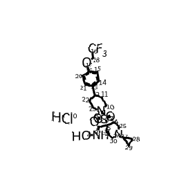 Cl.O=C(NO)C1(S(=O)(=O)N2CCC(c3ccc(OCC(F)(F)F)cc3)CC2)CCN(C2CC2)CC1